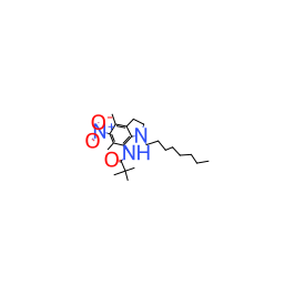 CCCCCCCCN1CCc2c(C)c([N+](=O)[O-])c(C)c(NC(=O)C(C)(C)C)c21